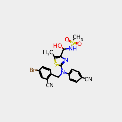 Cc1sc(N(Cc2ccc(Br)cc2C#N)c2ccc(C#N)cc2)nc1C(O)NS(C)(=O)=O